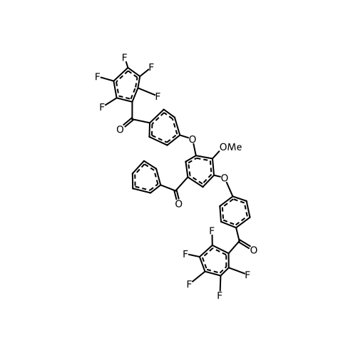 COc1c(Oc2ccc(C(=O)c3c(F)c(F)c(F)c(F)c3F)cc2)cc(C(=O)c2ccccc2)cc1Oc1ccc(C(=O)c2c(F)c(F)c(F)c(F)c2F)cc1